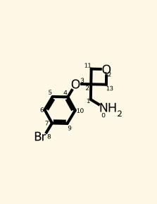 NCC1(Oc2ccc(Br)cc2)COC1